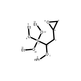 CCCOC(CC1CO1)[Si](OCC)(OCC)OCC